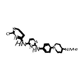 CNC1CCN(c2ccc(Nc3nccc(Nc4ccnc(Cl)n4)n3)cc2)CC1